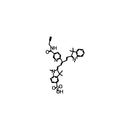 C#CCNC(=O)c1ccc(C(=C\C=C2\N(C)c3ccc(S(=O)(=O)O)cc3C2(C)C)/C=C/C2=[N+](C)c3ccccc3C2(C)C)nc1